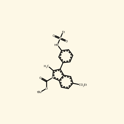 CCOC(=O)c1ccc2c(c1)c(-c1cccc(NS(=O)(=O)CC)c1)c(C)n2C(=O)OC(C)(C)C